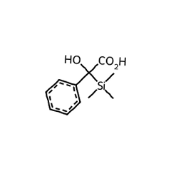 C[Si](C)(C)C(O)(C(=O)O)c1ccccc1